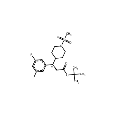 CC(C)(C)OC(=O)C[C@@H](c1cc(F)cc(F)c1)C1CCN(S(C)(=O)=O)CC1